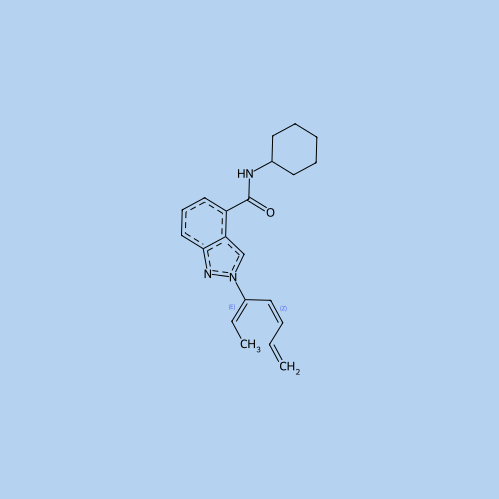 C=C/C=C\C(=C/C)n1cc2c(C(=O)NC3CCCCC3)cccc2n1